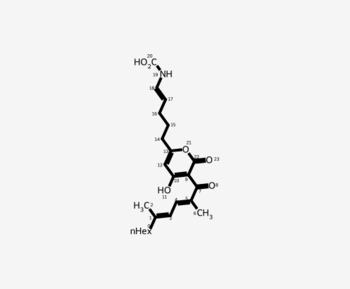 CCCCCCC(C)=CC=C(C)C(=O)c1c(O)cc(CCCC=CNC(=O)O)oc1=O